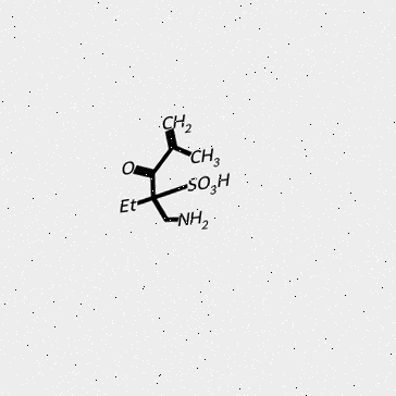 C=C(C)C(=O)C(CC)(CN)S(=O)(=O)O